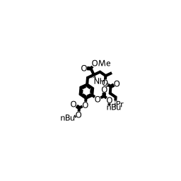 CCCCOC(=O)Oc1ccc(C[C@](N)(CC(C)OC(=O)CCC(C)C)C(=O)OC)cc1OC(=O)OCCCC